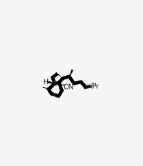 CC(C)CCC[C@H](C)[C@H]1CC[C@H]2[C@@H](C)CCC[C@]12C#N